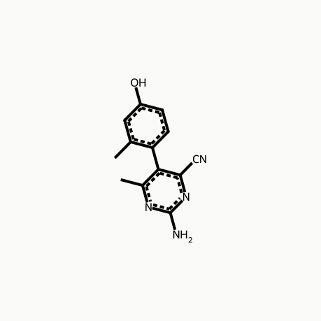 Cc1cc(O)ccc1-c1c(C)nc(N)nc1C#N